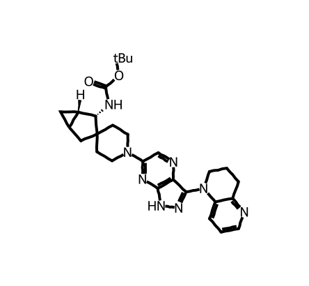 CC(C)(C)OC(=O)N[C@H]1[C@H]2CC2CC12CCN(c1cnc3c(N4CCCc5ncccc54)n[nH]c3n1)CC2